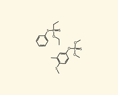 CCOP(=S)(CC)Sc1ccccc1.COP(=S)(OC)Oc1ccc(SC)c(C)c1